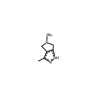 Cc1n[nH]c2c1CN(C(C)(C)C)C2